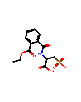 CCOC(=O)c1ccccc1C(=O)NC(CS(=O)(=O)O)C(=O)O